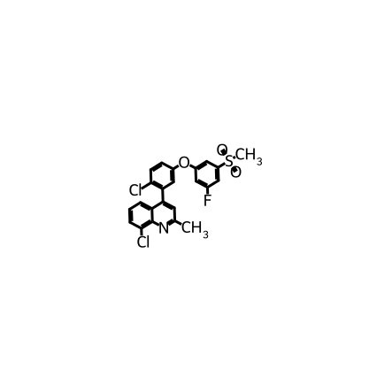 Cc1cc(-c2cc(Oc3cc(F)cc(S(C)(=O)=O)c3)ccc2Cl)c2cccc(Cl)c2n1